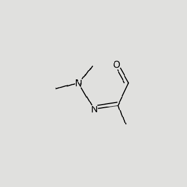 CC(C=O)=NN(C)C